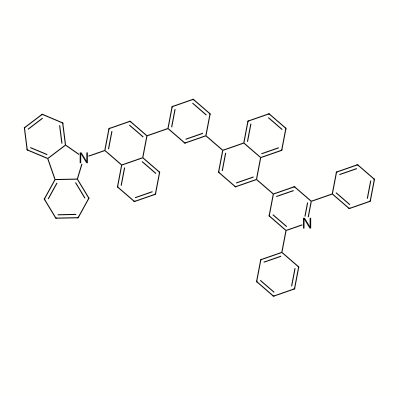 c1ccc(-c2cc(-c3ccc(-c4cccc(-c5ccc(-n6c7ccccc7c7ccccc76)c6ccccc56)c4)c4ccccc34)cc(-c3ccccc3)n2)cc1